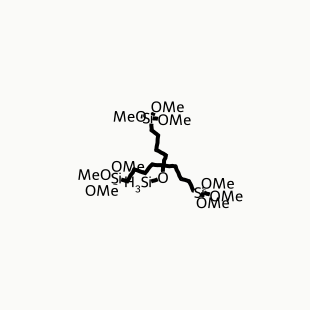 CO[Si](CCCCC(CCCC[Si](OC)(OC)OC)(CCCC[Si](OC)(OC)OC)O[SiH3])(OC)OC